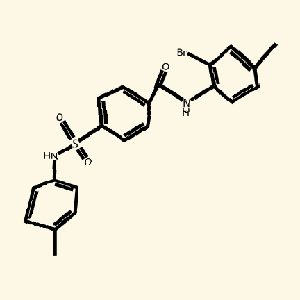 Cc1ccc(NS(=O)(=O)c2ccc(C(=O)Nc3ccc(C)cc3Br)cc2)cc1